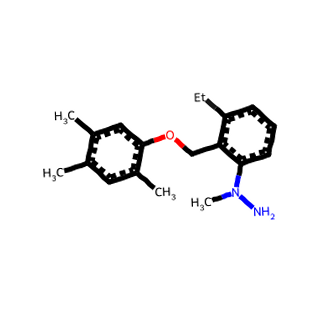 CCc1cccc(N(C)N)c1COc1cc(C)c(C)cc1C